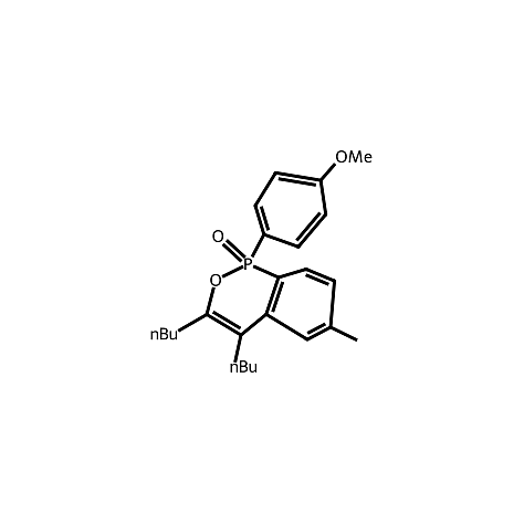 CCCCC1=C(CCCC)c2cc(C)ccc2P(=O)(c2ccc(OC)cc2)O1